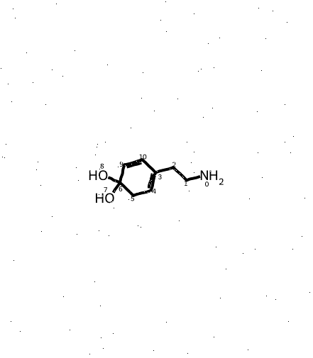 NCCC1=CCC(O)(O)C=C1